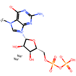 Cn1c[n+]([C@@H]2O[C@H](COP(=O)([O-])OP(=O)([O-])O)[C@@H](O)[C@H]2O)c2nc(N)nc([O-])c21.[Na+].[Na+]